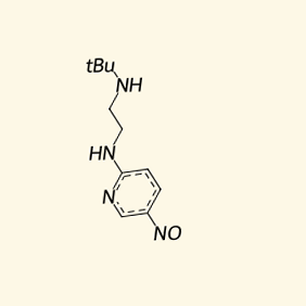 CC(C)(C)NCCNc1ccc(N=O)cn1